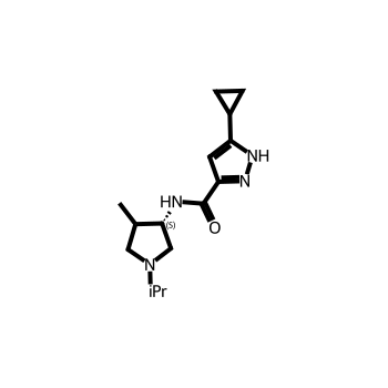 CC1CN(C(C)C)C[C@H]1NC(=O)c1cc(C2CC2)[nH]n1